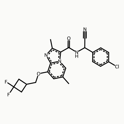 Cc1cc(OCC2CC(F)(F)C2)c2nc(C)c(C(=O)NC(C#N)c3ccc(Cl)cc3)n2c1